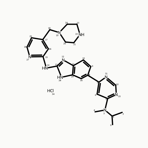 CC(C)N(C)c1cc(-c2ccc3nc(Nc4cc(CN5CCNCC5)ccn4)[nH]c3c2)ncn1.Cl